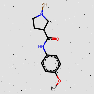 CCOc1ccc(NC(=O)C2CCN(S)C2)cc1